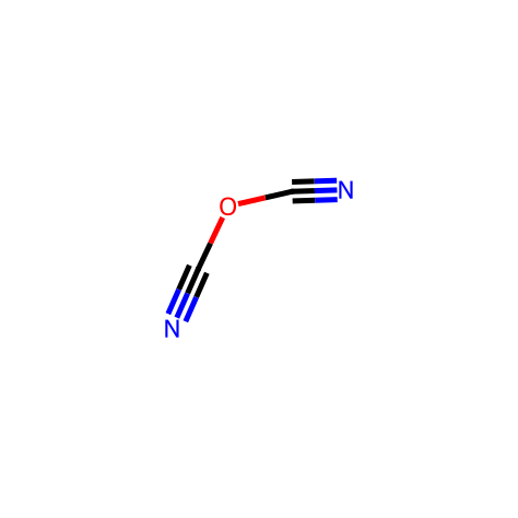 N#COC#N